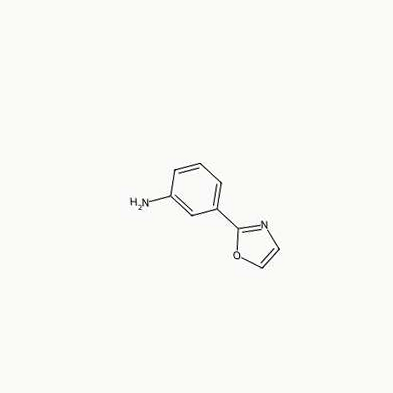 Nc1cccc(-c2ncco2)c1